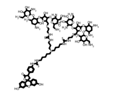 NCC1O[C@H](O[C@@H]2C(N)C[C@@H](N)C(O)C2OC2OC(CSCCNC(=S)NCCCCN(CCCCCNC(=S)Nc3ccc(C4CC5(OC4=O)c4ccc(O)cc4Oc4cc(O)ccc45)cc3)CCCNC(=S)NCCSCC3OC(OC4C(O)[C@H](N)CC(N)[C@H]4O[C@@H]4OC(CN)[C@@H](O)C(O)C4N)C(O)C3O[C@H]3OC(CN)[C@@H](O)C(CO)C3N)C(O[C@H]3OC(CN)[C@@H](O)C(O)C3N)C2O)C(N)C(O)[C@@H]1O